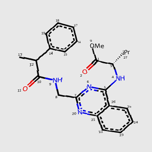 COC(=O)[C@@H](Nc1nc(CNC(=O)C(C)c2ccccc2)nc2ccccc12)C(C)C